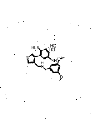 COc1cc(CNCc2cscc2-c2cc(N)ccc2N)cc(OC)c1.Cl.Cl